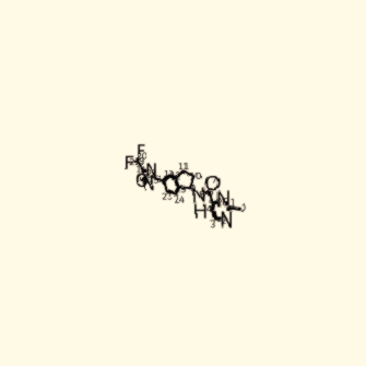 Cc1nccc(C(=O)NC2CCc3cc(-c4noc(C(F)F)n4)ccc32)n1